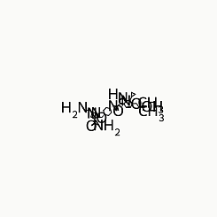 CC(C)(O)COc1ccc2c(C(=O)N[C@H]3CC[C@H](Oc4nn(CCN)cc4C(N)=O)CC3)cnn2c1C1CC1